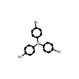 CC(=O)c1ccc([S+](c2ccc(C(C)=O)cc2)c2ccc(C(C)=O)cc2)cc1